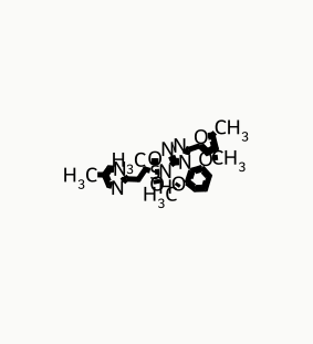 COc1cccc(OC)c1-n1c(NS(=O)(=O)[C@H](C)Cc2ncc(C)cn2)nnc1-c1ccc(C)o1